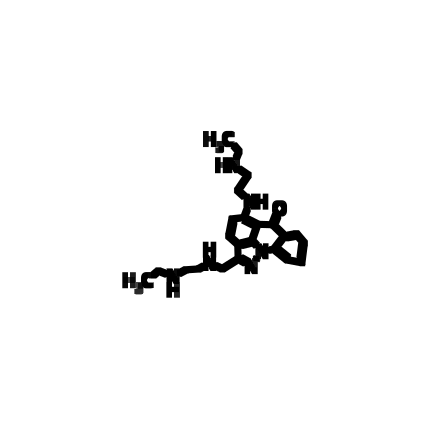 CCNCCNCc1nn2c3ccccc3c(=O)c3c(NCCNCC)ccc1c32